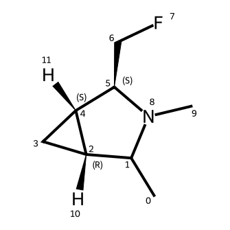 CC1[C@@H]2C[C@@H]2[C@@H](CF)N1C